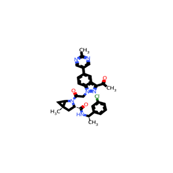 CC(=O)c1nn(CC(=O)N2C3C[C@]3(C)C[C@H]2C(=O)N[C@@H](C)c2cccc(Cl)c2)c2ccc(-c3cnc(C)nc3)cc12